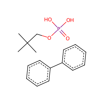 CC(C)(C)COP(=O)(O)O.c1ccc(-c2ccccc2)cc1